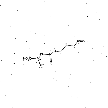 CCCCCCCCCCCCOC(=O)N[C@H](C(=O)O)C(C)C